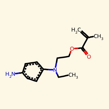 C=C(C)C(=O)OCCN(CC)c1ccc(N)cc1